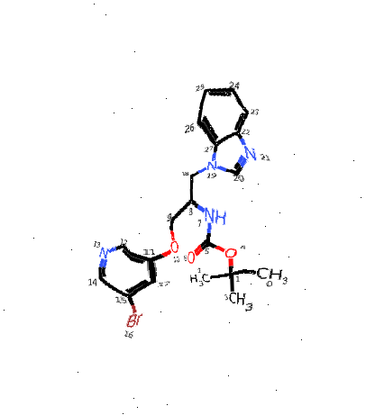 CC(C)(C)OC(=O)NC(COc1cncc(Br)c1)Cn1cnc2ccccc21